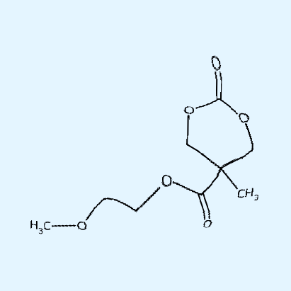 COCCOC(=O)C1(C)COC(=O)OC1